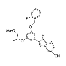 COC[C@H](C)Oc1cc(OCc2ccccc2F)cc(-c2nc3cc(C#N)cnc3[nH]2)c1